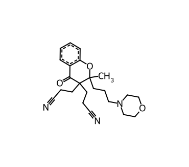 CC1(CCCN2CCOCC2)Oc2ccccc2C(=O)C1(CCC#N)CCC#N